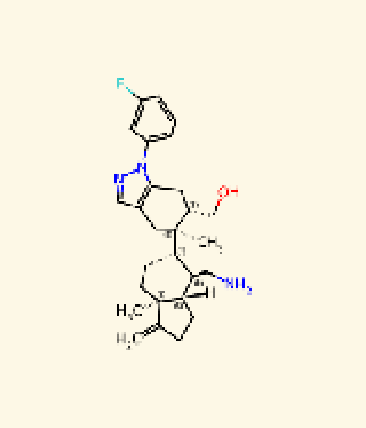 C=C1CC[C@H]2[C@H](CN)[C@@H]([C@@]3(C)Cc4cnn(-c5cccc(F)c5)c4C[C@@H]3CO)CC[C@]12C